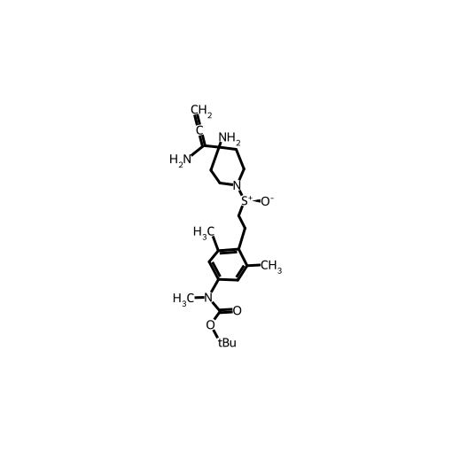 C=C=C(N)C1(N)CCN([S@@+]([O-])CCc2c(C)cc(N(C)C(=O)OC(C)(C)C)cc2C)CC1